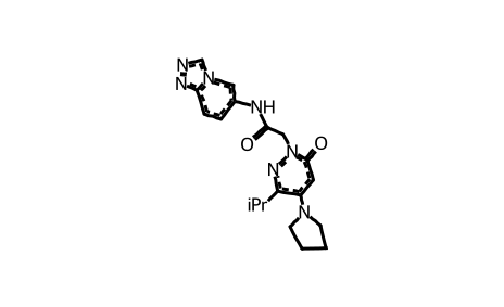 CC(C)c1nn(CC(=O)Nc2ccc3nncn3c2)c(=O)cc1N1CCCC1